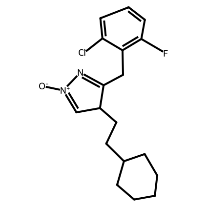 [O-][N+]1=CC(CCC2CCCCC2)C(Cc2c(F)cccc2Cl)=N1